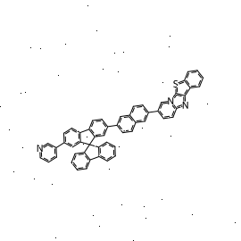 c1cncc(-c2ccc3c(c2)C2(c4ccccc4-c4ccccc42)c2cc(-c4ccc5cc(-c6ccc7nc8c9ccccc9sc8n7c6)ccc5c4)ccc2-3)c1